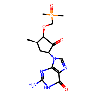 C[C@@H]1C[C@H](n2cnc3c(=O)[nH]c(N)nc32)C(=O)[C@@H]1OCP(C)(C)=O